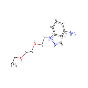 CCOCCOCCn1ncc2c(N)cccc21